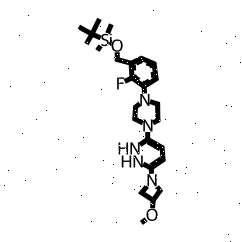 COC1CN(C2=CC=C(N3CCN(c4cccc(CO[Si](C)(C)C(C)(C)C)c4F)CC3)NN2)C1